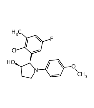 COc1ccc(N2CC[C@@H](O)[C@H]2c2cc(F)cc(C)c2Cl)cc1